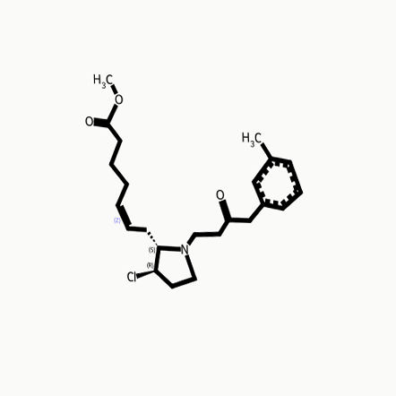 COC(=O)CCC/C=C\C[C@H]1[C@H](Cl)CCN1CCC(=O)Cc1cccc(C)c1